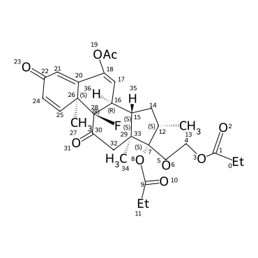 CCC(=O)OCC(=O)[C@]1(OC(=O)CC)[C@@H](C)C[C@H]2[C@@H]3C=C(OC(C)=O)C4=CC(=O)C=C[C@]4(C)[C@@]3(F)C(=O)C[C@@]21C